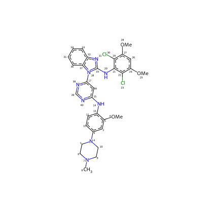 COc1cc(N2CCN(C)CC2)ccc1Nc1cc(-n2c(Nc3c(Cl)c(OC)cc(OC)c3Cl)nc3ccccc32)ncn1